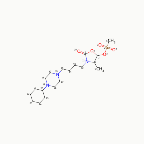 CC1C(OS(C)(=O)=O)OC(=O)N1CCCCN1CCN(C2CCCCC2)CC1